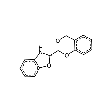 c1ccc2c(c1)COC([C]1Nc3ccccc3O1)O2